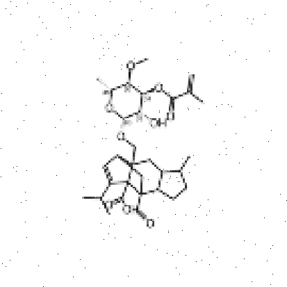 C=C(C)C(=O)O[C@H]1[C@H](O)[C@H](OCC23CC4C(C)CCC4C4(C=O)CC2C=C(C(C)C)C43C(=O)O)O[C@H](C)[C@H]1OC